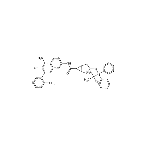 Cc1ccncc1-c1cc2cc(NC(=O)C3C4CC(O[Si](c5ccccc5)(c5ccccc5)C(C)(C)C)CC43)ncc2c(N)c1Cl